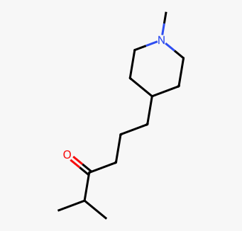 CC(C)C(=O)CCCC1CCN(C)CC1